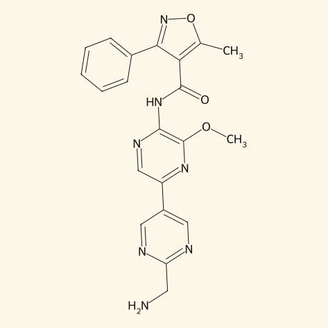 COc1nc(-c2cnc(CN)nc2)cnc1NC(=O)c1c(-c2ccccc2)noc1C